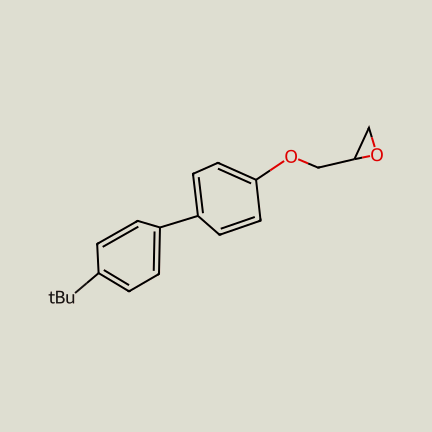 CC(C)(C)c1ccc(-c2ccc(OCC3CO3)cc2)cc1